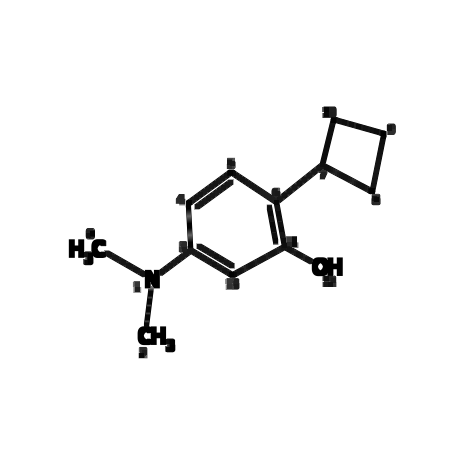 CN(C)c1ccc(C2CCC2)c(O)c1